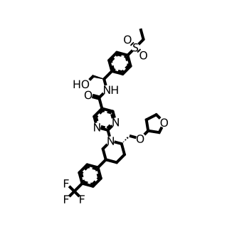 CCS(=O)(=O)c1ccc([C@H](CO)NC(=O)c2cnc(N3CC(c4ccc(C(F)(F)F)cc4)CC[C@H]3COC3CCOC3)nc2)cc1